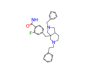 [NH]C(=O)c1ccc(CC23CN(CCc4ccccc4)CCC2CN(Cc2ccccc2)C3)cc1F